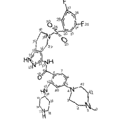 CN1CCN(c2ccc(C(=O)Nc3n[nH]c4c3CN(S(=O)(=O)c3cc(F)cc(F)c3)CC4)c(NC3CCNCC3)c2)CC1